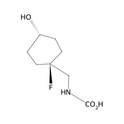 O=C(O)NC[C@]1(F)CC[C@H](O)CC1